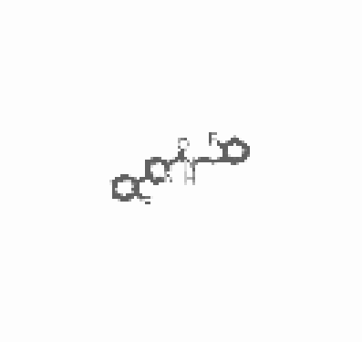 O=C(NCCc1ccccc1F)c1ccc(-c2ccccc2F)cn1